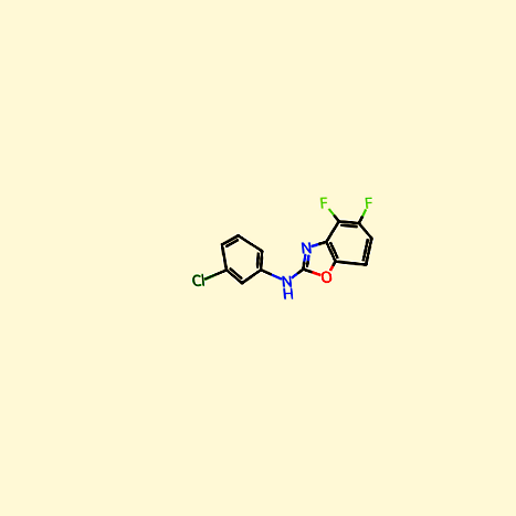 Fc1ccc2oc(Nc3cccc(Cl)c3)nc2c1F